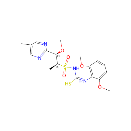 COc1cccc(OC)c1/N=C(/S)NS(=O)(=O)[C@@H](C)[C@H](OC)c1ncc(C)cn1